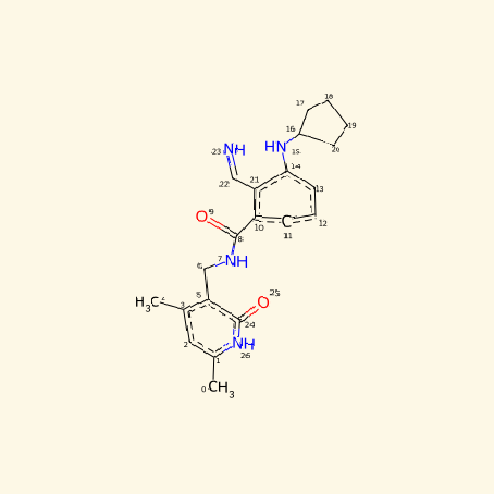 Cc1cc(C)c(CNC(=O)c2cccc(NC3CCCC3)c2C=N)c(=O)[nH]1